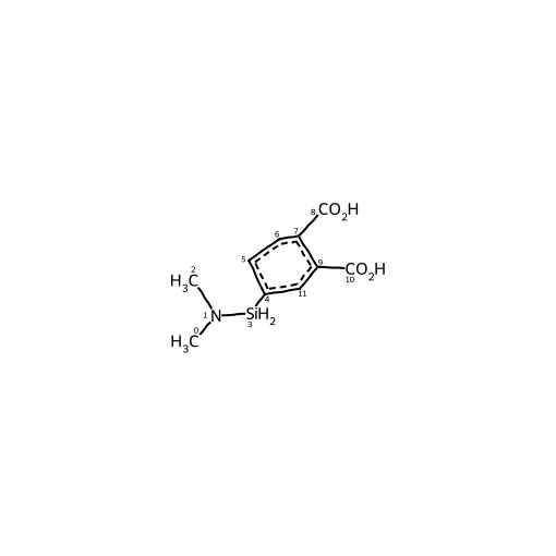 CN(C)[SiH2]c1ccc(C(=O)O)c(C(=O)O)c1